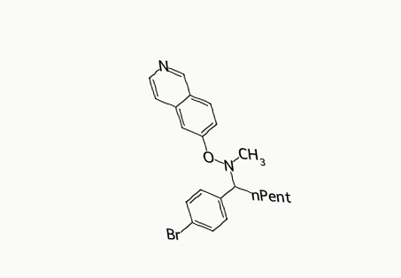 CCCCCC(c1ccc(Br)cc1)N(C)Oc1ccc2cnccc2c1